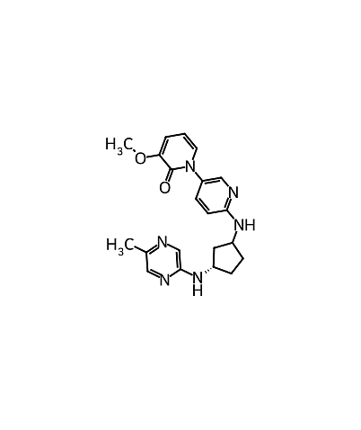 COc1cccn(-c2ccc(NC3CC[C@H](Nc4cnc(C)cn4)C3)nc2)c1=O